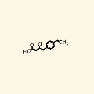 C=Cc1ccc(CC(Cl)CC(=O)O)cc1